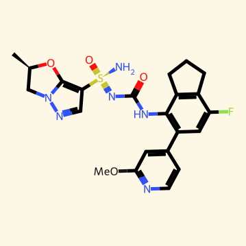 COc1cc(-c2cc(F)c3c(c2NC(=O)N=[S@@](N)(=O)c2cnn4c2O[C@H](C)C4)CCC3)ccn1